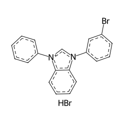 Br.Brc1cccc(-n2c[n+](-c3ccccc3)c3ccccc32)c1